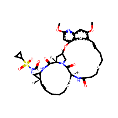 COc1cc2c3cc(c(OC)cc3n1)/C=C/CCCCCC(=O)N[C@H]1CCCCC/C=C\[C@@H]3C[C@@]3(C(=O)NS(=O)(=O)C3CC3)NC(=O)[C@@H]3C[C@H](CN3C1=O)O2